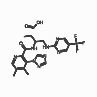 CCC(CNc1ncc(C(F)(F)F)cn1)NC(=O)c1ncc(C)c(C)c1-n1cncn1.O=CO